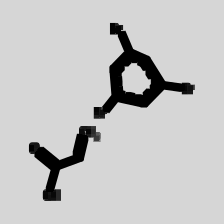 Brc1cc(Br)cc(Br)c1.C=CC(=O)O